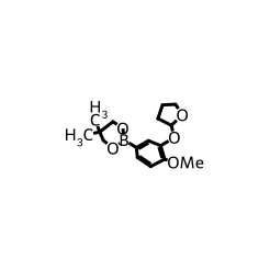 COc1ccc(B2OCC(C)(C)CO2)cc1OC1CCCO1